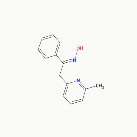 Cc1cccc(CC(=NO)c2ccccc2)n1